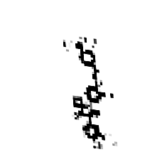 CCc1cc(N2C(=S)N(c3cnc(C#N)c(C(F)(F)F)c3)C(=O)C23CCC3)ccc1OCCC1CCN(C(C)C(=O)O)CC1